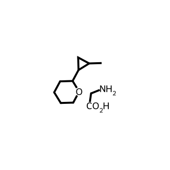 CC1CC1C1CCCCO1.NCC(=O)O